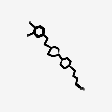 C=CCCC[C@H]1CC[C@H]([C@H]2CC[C@H](CCc3ccc(F)c(F)c3)CC2)CC1